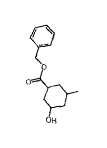 CC1CC(O)CC(C(=O)OCc2ccccc2)C1